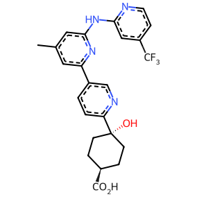 Cc1cc(Nc2cc(C(F)(F)F)ccn2)nc(-c2ccc([C@]3(O)CC[C@H](C(=O)O)CC3)nc2)c1